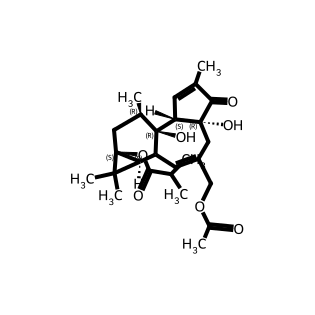 CC(=O)OCC1=CC2[C@H]3C(C)(C)[C@]3(OC(=O)C(C)C)C[C@@H](C)[C@]2(O)[C@@H]2C=C(C)C(=O)[C@@]2(O)C1